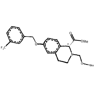 COC(=O)[C@H]1c2ccc(OCc3cccc(C(F)(F)F)c3)cc2CCN1COC(C)(C)C